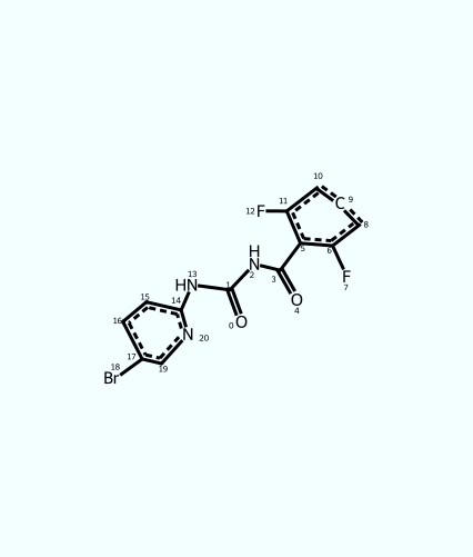 O=C(NC(=O)c1c(F)cccc1F)Nc1ccc(Br)cn1